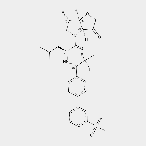 CC(C)C[C@H](N[C@@H](c1ccc(-c2cccc(S(C)(=O)=O)c2)cc1)C(F)(F)F)C(=O)N1C[C@H](F)[C@H]2OCC(=O)[C@H]21